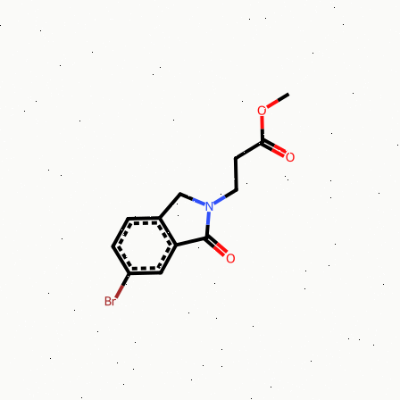 COC(=O)CCN1Cc2ccc(Br)cc2C1=O